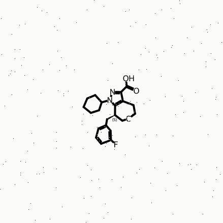 O=C(O)c1nn(C2CCCCC2)c2c1CCCC[C@H]2Cc1cccc(F)c1